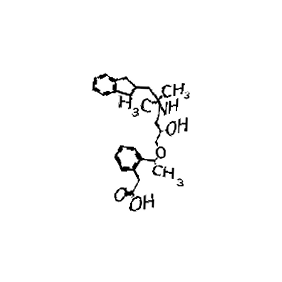 C[C@@H](OC[C@@H](O)CNC(C)(C)CC1Cc2ccccc2C1)c1ccccc1CC(=O)O